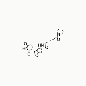 O=C1CCC(c2coc3ccc(NC(=O)CCCCCC(=O)N4CCCCC4)cc23)C(=O)N1